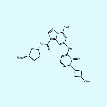 CNc1cc(Nc2cccn(C3CC(OC)C3)c2=O)nc2c(C(=O)N[C@@H]3CC[C@@H](OC)C3)cnn12